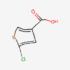 O=C(O)c1csc(Cl)c1